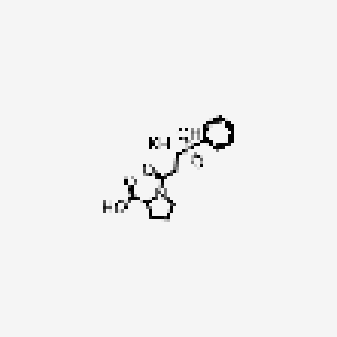 O=C(O)[C@@H]1CCCN1C(=O)CCP(=O)(O)c1ccccc1.[KH]